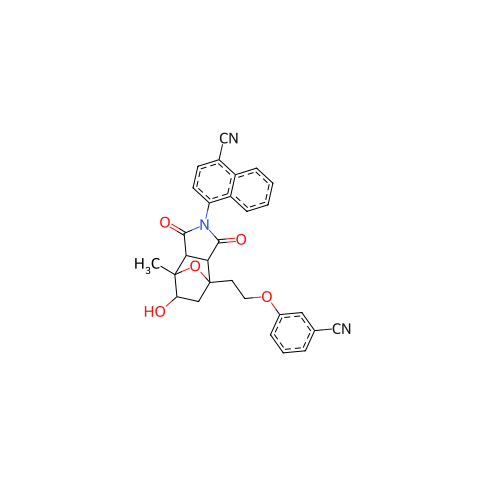 CC12OC(CCOc3cccc(C#N)c3)(CC1O)C1C(=O)N(c3ccc(C#N)c4ccccc34)C(=O)C12